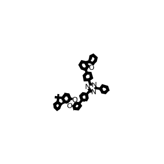 CC1(C)c2ccccc2-c2c1ccc1c2Oc2cccc(-c3ccc(-c4nc(-c5ccccc5)nc(-c5ccc(-c6cccc7c6oc6ccccc67)cc5)n4)cc3)c2O1